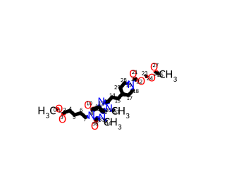 COC(=O)CCCCn1c(=O)c2nc(CCC3CCN(C(=O)OCOC(C)=O)CC3)n(C)c2n(C)c1=O